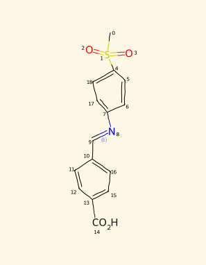 CS(=O)(=O)c1ccc(/N=C/c2ccc(C(=O)O)cc2)cc1